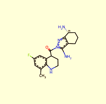 Cc1cc(F)cc2c1NCCC2C(=O)n1nc2c(c1N)CCC[C@H]2N